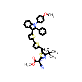 COC(=O)/C(C#N)=c1/nc(C(C)(C)C)c(=Cc2ccc(-c3ccc(-c4c(-c5ccccc5)n(-c5ccc(OC)cc5)c5ccccc45)s3)s2)s1